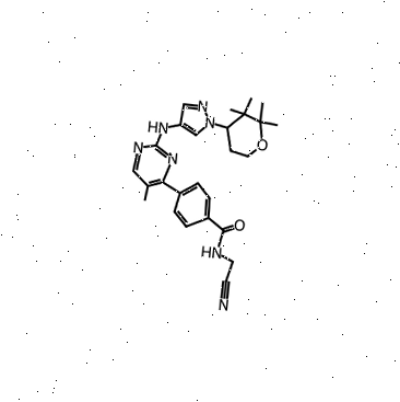 Cc1cnc(Nc2cnn(C3CCOC(C)(C)C3(C)C)c2)nc1-c1ccc(C(=O)NCC#N)cc1